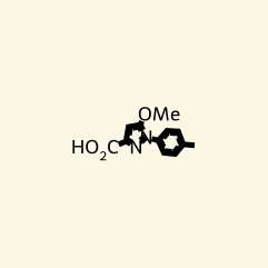 COc1cc(C(=O)O)nn1-c1ccc(C)cc1